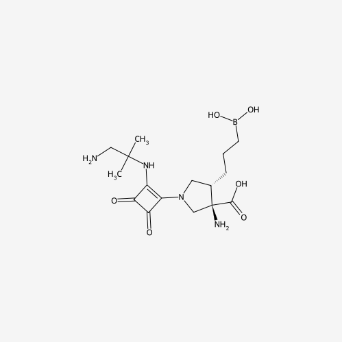 CC(C)(CN)Nc1c(N2C[C@H](CCCB(O)O)[C@](N)(C(=O)O)C2)c(=O)c1=O